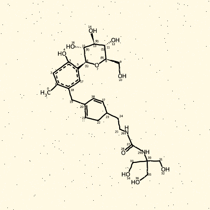 Cc1cc(O)c([C@@H]2O[C@H](CO)[C@@H](O)[C@H](O)[C@H]2O)cc1CC1=CCC(CCNC(=O)NC(CO)(CO)CO)C=C1